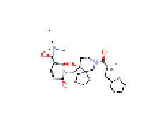 C[C@H](CC1CCCCC1)C(=O)N1CCC(O)(Cn2cc(C(=O)N(C)C)ccc2=O)C2(CCCC2)C1